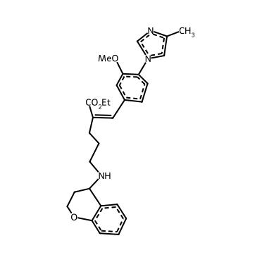 CCOC(=O)C(=Cc1ccc(-n2cnc(C)c2)c(OC)c1)CCCNC1CCOc2ccccc21